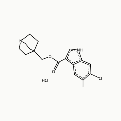 Cc1cc2c(C(=O)OCC34CCN(CC3)CC4)c[nH]c2cc1Cl.Cl